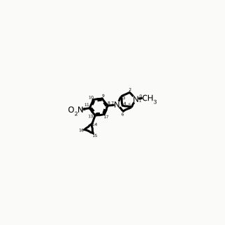 CN1CC2CC1CN2c1ccc([N+](=O)[O-])c(C2CC2)c1